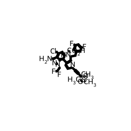 CC(C)(C#Cc1ccc(-c2ccc(Cl)c3c(N)nn(CC(F)F)c23)c(C(Cc2cc(F)cc(F)c2)NC(=O)O)n1)S(C)(=O)=O